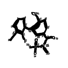 Cc1cccc(-c2cc(C(=O)N(C)S(C)(=O)=O)ccc2Cl)c1F